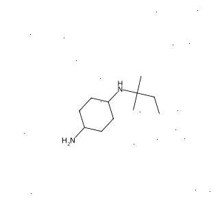 CCC(C)(C)NC1CCC(N)CC1